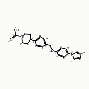 O=C(O)N1CCC(c2ccc(COc3ccc(-n4cncn4)cc3)nc2)CC1